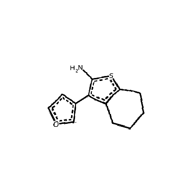 Nc1sc2c(c1-c1[c]occ1)CCCC2